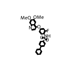 COc1cc2nccc(Oc3ccc(NS(=O)(=O)c4ccc(-c5ccccc5)cc4)c(F)c3)c2cc1OC